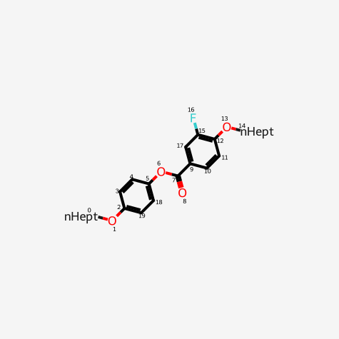 CCCCCCCOc1ccc(OC(=O)c2ccc(OCCCCCCC)c(F)c2)cc1